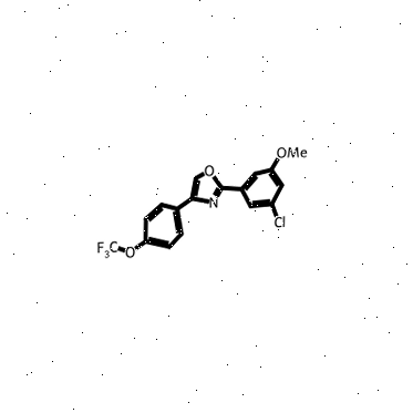 COc1cc(Cl)cc(-c2nc(-c3ccc(OC(F)(F)F)cc3)co2)c1